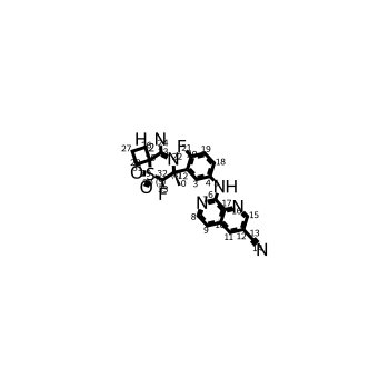 C[C@]1(c2cc(Nc3nccc4cc(C#N)cnc34)ccc2F)N=C(N)C2(CCC2)S(=O)(=O)[C@@H]1F